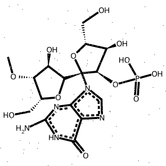 CO[C@H]1[C@@H](CO)OC([C@@]2(n3cnc4c(=O)[nH]c(N)nc43)O[C@H](CO)[C@@H](O)[C@H]2OP(=O)(O)O)[C@@H]1O